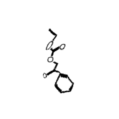 C=COC(=O)OCC(=O)c1ccccc1